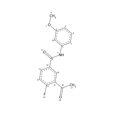 COc1cccc(NC(=O)c2ccc(F)c(C(C)=O)c2)c1